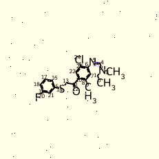 CCN(C)/C=N\c1cc(C)c(C(=O)CSc2cccc(F)c2)cc1Cl